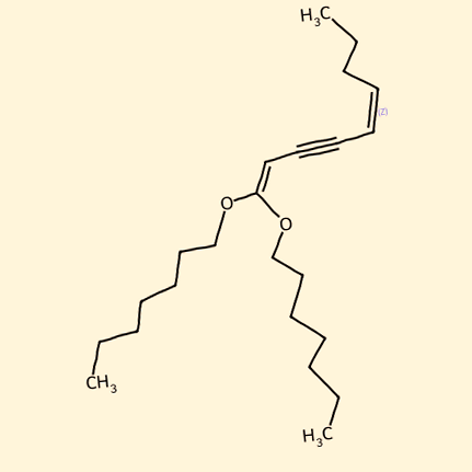 CCC/C=C\C#CC=C(OCCCCCCC)OCCCCCCC